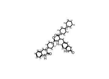 O=C1Cc2cc(CC(NC(=O)N3CCC(N4Cc5ccccc5NC4=O)CC3)C(=O)N3CCC(N4CCCCC4)CC3)ccc2N1